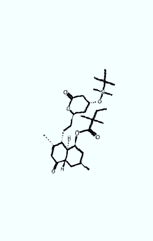 CCC(C)(C)C(=O)O[C@H]1C[C@@H](C)C[C@@H]2C(=O)C[C@H](C)[C@H](CC[C@@H]3C[C@@H](O[Si](C)(C)C(C)(C)C)CC(=O)O3)[C@@H]12